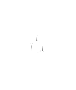 Nc1ncc(Cl)c(=O)[nH]1